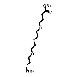 CCCCCCOCCOCCOCCOCCCC(=O)OCC(C)C